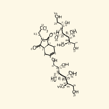 O=C1C2CC=CCC2C(=O)N1SC(Cl)(Cl)Cl.OC[C@@H](O)[C@@H](O)[C@H](O)[C@@H](O)CO.OC[C@@H](O)[C@@H](O)[C@H](O)[C@@H](O)CO